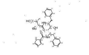 CN(C(=O)O)[C@H](C(=O)N[C@@H](Cc1ccccc1)[C@H](O)C[C@H](Cc1ccccc1)NC(=O)c1cccs1)C(C)(C)C